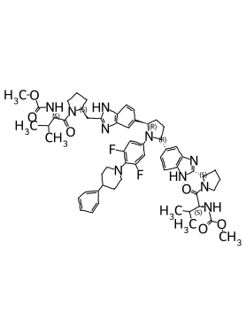 COC(=O)N[C@H](C(=O)N1CCC[C@H]1Cc1nc2cc([C@H]3CC[C@H](c4ccc5[nH]c([C@@H]6CCCN6C(=O)[C@@H](NC(=O)OC)C(C)C)nc5c4)N3c3cc(F)c(N4CCC(c5ccccc5)CC4)c(F)c3)ccc2[nH]1)C(C)C